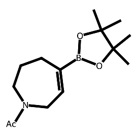 CC(=O)N1CC=C(B2OC(C)(C)C(C)(C)O2)CCC1